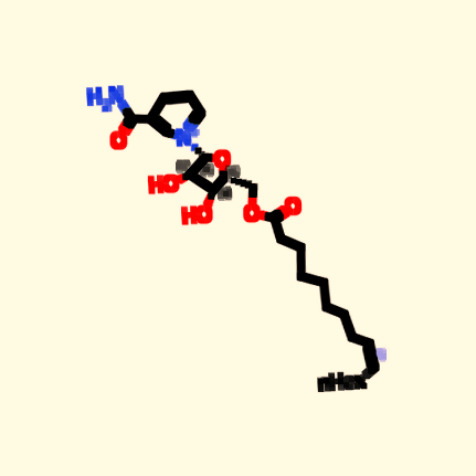 CCCCCC/C=C\CCCCCCCC(=O)OC[C@H]1O[C@@H]([n+]2cccc(C(N)=O)c2)[C@H](O)[C@@H]1O